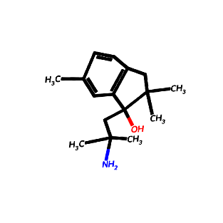 Cc1ccc2c(c1)C(O)(CC(C)(C)N)C(C)(C)C2